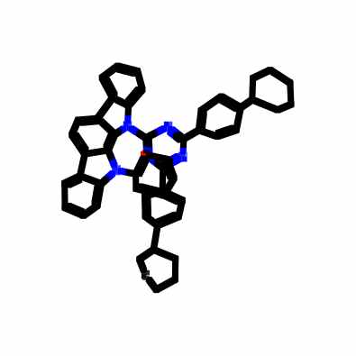 c1ccc(-n2c3ccccc3c3ccc4c5ccccc5n(-c5nc(-c6ccc(C7CCCCC7)cc6)nc(-c6ccc(C7CCCCC7)cc6)n5)c4c32)cc1